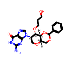 Nc1nc2c(ncn2[C@@H]2CO[C@@H]3COC(c4ccccc4)O[C@H]3[C@H]2OCCCO)c(=O)[nH]1